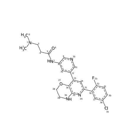 CN(C)CCC(=O)Nc1cncc(-c2cc(-c3cc(Cl)ccc3F)nc3c2OCCN3)c1